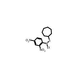 CCN(SC1CCCCCC1)c1ccc([N+](=O)[O-])cc1[N+](=O)[O-]